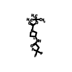 CC(C)(C)OC(=O)N1CC[C@H](NC(=O)CC(F)(F)F)C1